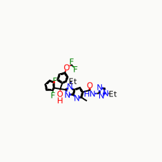 CCn1cnc(NC(=O)c2cc3c(nc2C)nc(C(O)(c2ccccc2F)c2ccc(OC(F)F)cc2F)n3CC)n1